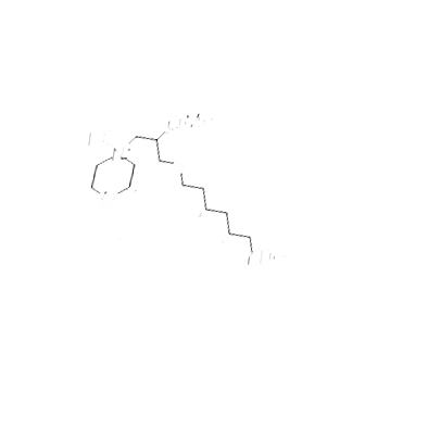 CCCCCCCCCCCCCCCCSCC(C[N+]1(C)CCOCC1)OC.[I-]